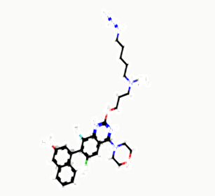 CN(CCCCCN=[N+]=[N-])CCCOc1nc(N2CCOCC2)c2cc(Cl)c(-c3cc(O)cc4ccccc34)c(F)c2n1